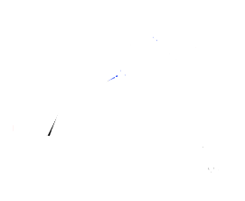 COC(=O)C=Cc1cn([C@H]2O[C@@H](CO)C(O)C2I)c(=O)[nH]c1=O